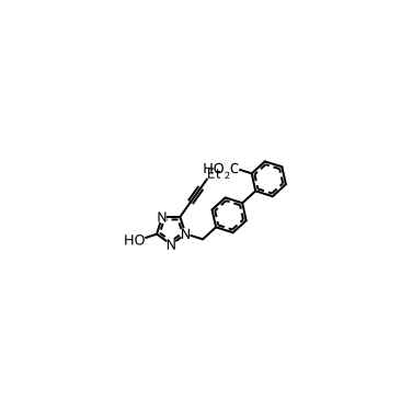 CCC#Cc1nc(O)nn1Cc1ccc(-c2ccccc2C(=O)O)cc1